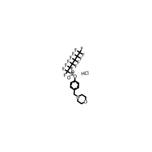 Cl.O=S(=O)(Oc1ccc(CN2CCOCC2)cc1)C(F)(F)C(F)(F)C(F)(F)C(F)(F)C(F)(F)C(F)(F)F